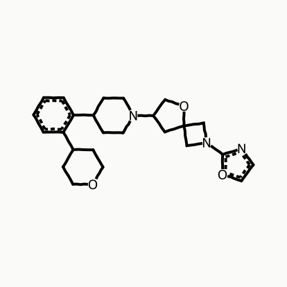 c1ccc(C2CCN(C3COC4(C3)CN(c3ncco3)C4)CC2)c(C2CCOCC2)c1